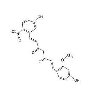 COc1cc(O)ccc1/C=C/C(=O)CC(=O)/C=C/c1cc(O)ccc1[N+](=O)[O-]